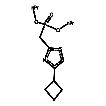 CCCOP(=O)(Cc1nc(C2CCC2)cs1)OCCC